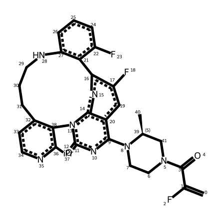 C=C(F)C(=O)N1CCN(c2nc(=O)n3c4nc(c(F)cc24)-c2c(F)cccc2NCCCc2ccnc(C(C)C)c2-3)[C@@H](C)C1